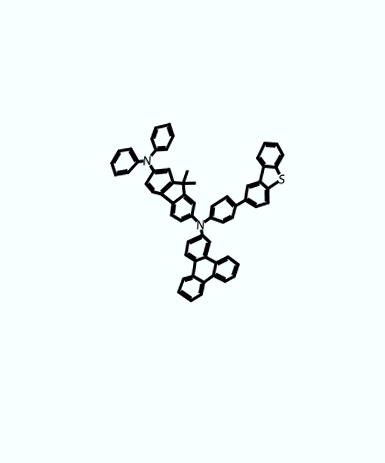 CC1(C)c2cc(N(c3ccccc3)c3ccccc3)ccc2-c2ccc(N(c3ccc(-c4ccc5sc6ccccc6c5c4)cc3)c3ccc4c5ccccc5c5ccccc5c4c3)cc21